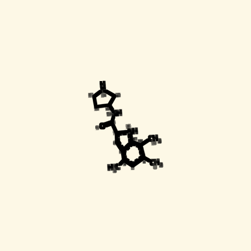 Cc1cc(C)c2cc(C(=O)NC3CCNC3)[nH]c2c1C